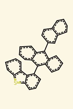 c1ccc2cc(-c3c4ccccc4c(-c4cccc5sc6ccccc6c45)c4ccccc34)ccc2c1